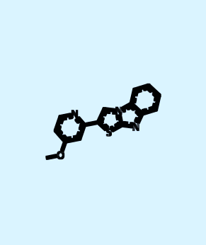 COc1ccnc(-c2cn3c(nc4ccccc43)s2)c1